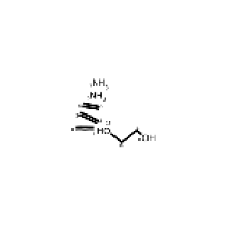 C=C.C=C.C=C.N.N.OCCO